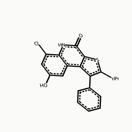 CCCc1sc2c(=O)[nH]c3c(Cl)cc(O)cc3c2c1-c1ccccc1